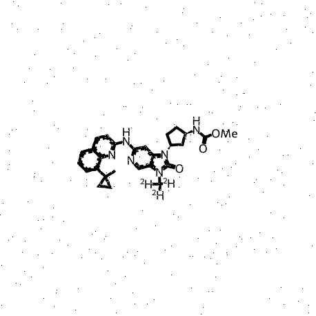 [2H]C([2H])([2H])n1c(=O)n([C@@H]2CC[C@@H](NC(=O)OC)C2)c2cc(Nc3ccc4cccc(C5(C)CC5)c4n3)ncc21